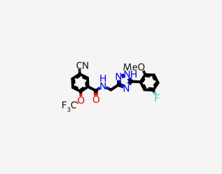 COc1ccc(F)cc1-c1nc(CNC(=O)c2cc(C#N)ccc2OC(F)(F)F)n[nH]1